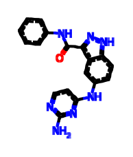 Nc1nccc(Nc2ccc3[nH]nc(C(=O)Nc4ccccc4)c3c2)n1